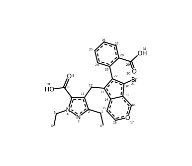 CCc1nn(CC)c(C(=O)O)c1Cc1c2ccocc-2c(Br)c1-c1ccccc1C(=O)O